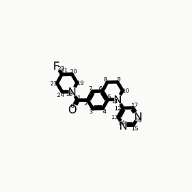 O=C(c1ccc2c(c1)CCCN2c1cncnc1)N1CCC(F)CC1